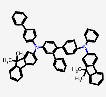 CC1(C)c2ccccc2-c2ccc(N(c3ccccc3)c3ccc(-c4ccc(N(c5ccc(-c6ccccc6)cc5)c5ccc6c(c5)C(C)(C)c5ccccc5-6)cc4-c4ccccc4)cc3)cc21